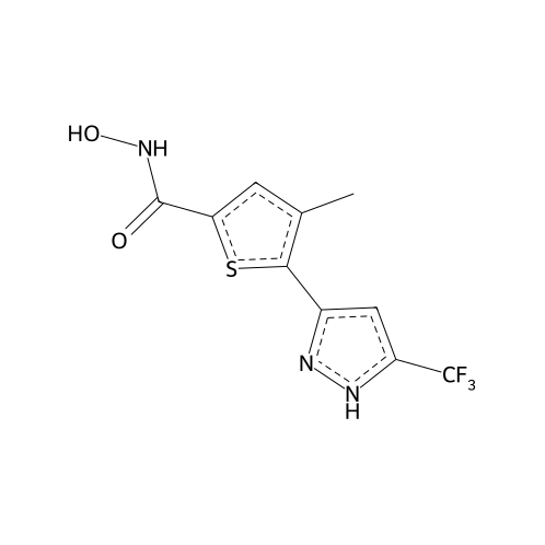 Cc1cc(C(=O)NO)sc1-c1cc(C(F)(F)F)[nH]n1